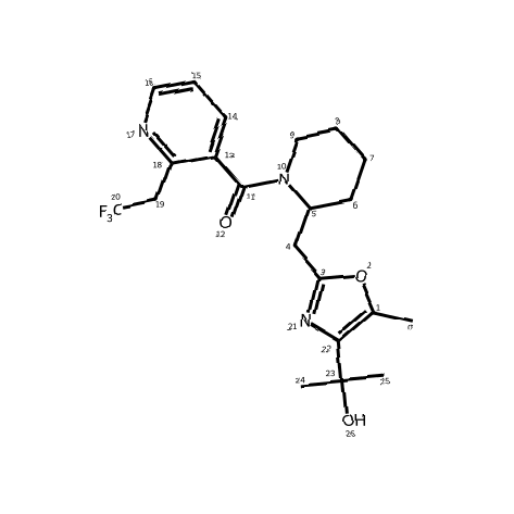 Cc1oc(CC2CCCCN2C(=O)c2cccnc2CC(F)(F)F)nc1C(C)(C)O